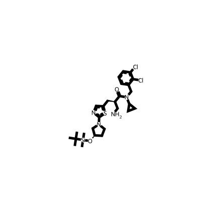 CC(C)(C)[Si](C)(C)O[C@H]1CCN(c2ncc(C[C@H](CN)C(=O)N(Cc3cccc(Cl)c3Cl)C3CC3)s2)C1